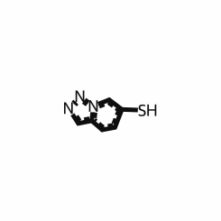 Sc1ccc2cnnn2c1